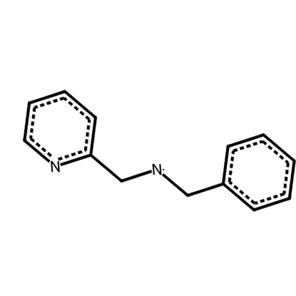 c1ccc(C[N]Cc2ccccn2)cc1